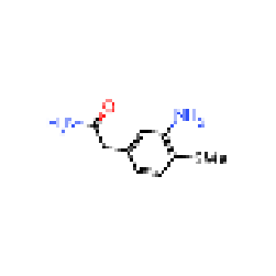 CSc1ccc(CC(N)=O)cc1N